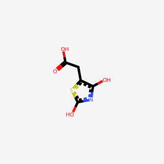 O=C(O)Cc1sc(O)nc1O